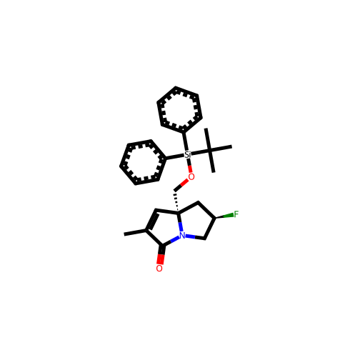 CC1=C[C@@]2(CO[Si](c3ccccc3)(c3ccccc3)C(C)(C)C)C[C@@H](F)CN2C1=O